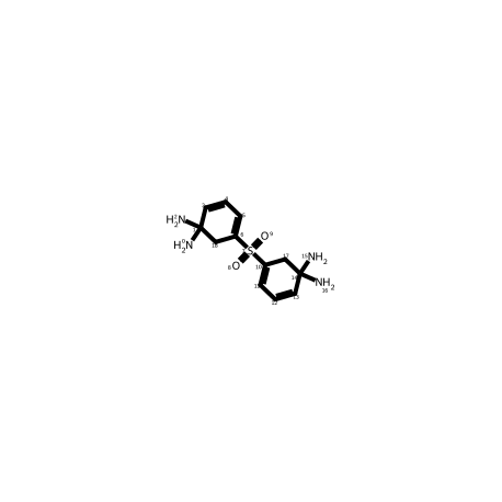 NC1(N)C=CC=C(S(=O)(=O)C2=CC=CC(N)(N)C2)C1